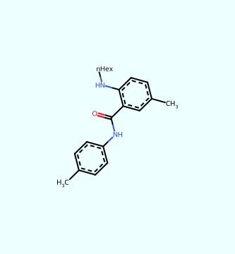 CCCCCCNc1ccc(C)cc1C(=O)Nc1ccc(C)cc1